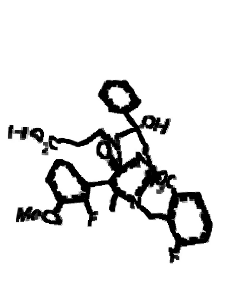 COc1cccc(-c2c(C)n(Cc3c(F)cccc3C(F)(F)F)c(=O)n(C[C@@](O)(NCCCC(=O)O)c3ccccc3)c2=O)c1F